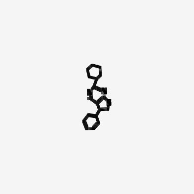 [c]1nc(C2CCCCC2)nc2scc(-c3ccccc3)c12